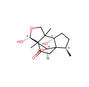 C[C@@H]1CC[C@@]2(O)C13CC(=O)C1(C)C2(C)CO[C@]1(O)[C@@H]3O